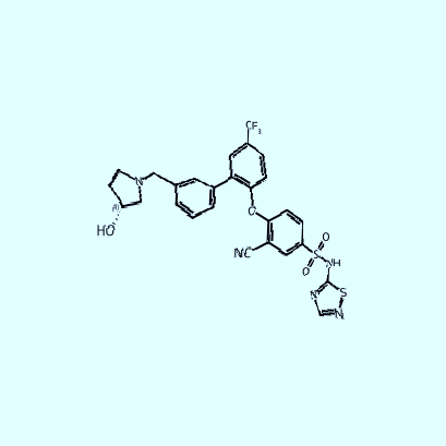 N#Cc1cc(S(=O)(=O)Nc2ncns2)ccc1Oc1ccc(C(F)(F)F)cc1-c1cccc(CN2CC[C@@H](O)C2)c1